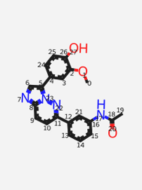 COc1cc(-c2cnc3ccc(-c4cccc(NC(C)=O)c4)nn23)ccc1O